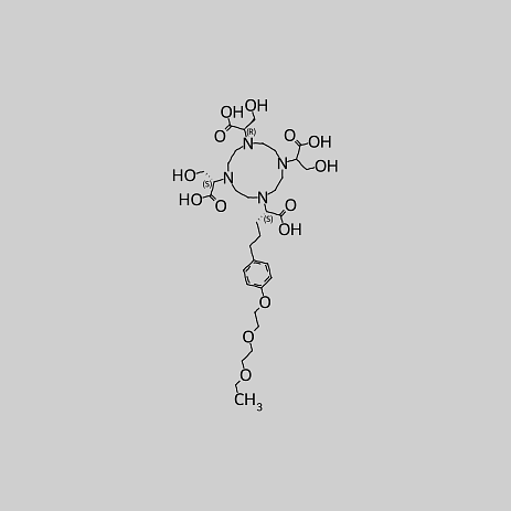 CCOCCOCCOc1ccc(CCC[C@@H](C(=O)O)N2CCN(C(CO)C(=O)O)CCN([C@H](CO)C(=O)O)CCN([C@@H](CO)C(=O)O)CC2)cc1